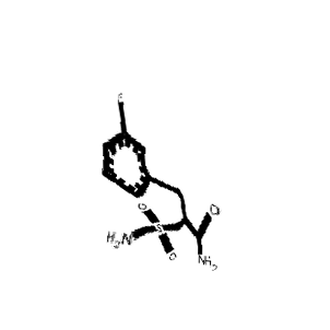 NC(=O)C(Cc1cccc(F)c1)S(N)(=O)=O